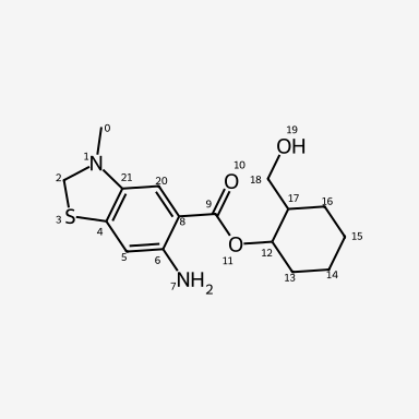 CN1CSc2cc(N)c(C(=O)OC3CCCCC3CO)cc21